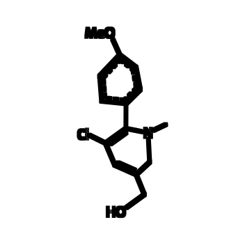 COc1ccc(C2=C(Cl)C=C(CO)CN2C)cc1